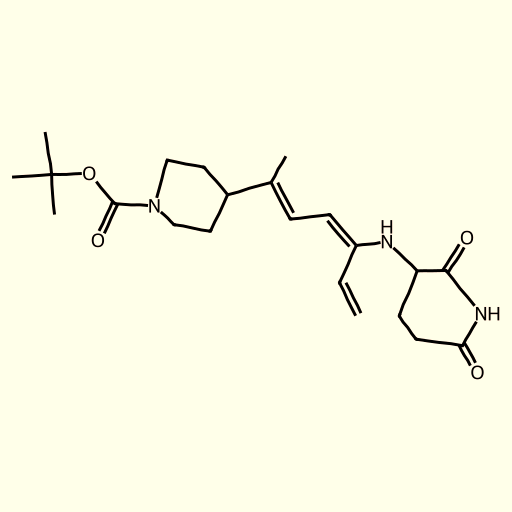 C=C/C(=C\C=C(/C)C1CCN(C(=O)OC(C)(C)C)CC1)NC1CCC(=O)NC1=O